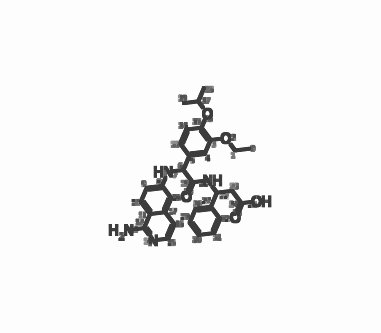 CCOc1cc(C(Nc2ccc3c(N)nccc3c2)C(=O)NC(CC(=O)O)c2ccccc2)ccc1OC(C)C